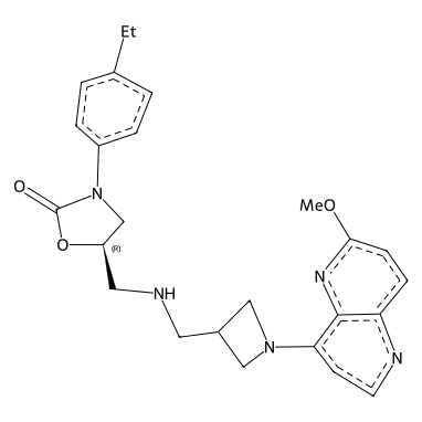 CCc1ccc(N2C[C@@H](CNCC3CN(c4ccnc5ccc(OC)nc45)C3)OC2=O)cc1